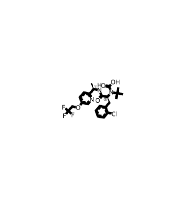 C[C@@H](NC(=O)[C@H](Cc1ccccc1Cl)N(C(=O)O)C(C)(C)C)c1ccc(OCC(F)(F)F)cn1